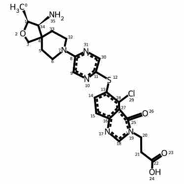 C[C@@H]1OCC2(CCN(c3cnc(Sc4ccc5ncn(CCC(=O)O)c(=O)c5c4Cl)cn3)CC2)[C@@H]1N